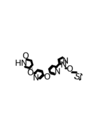 C[Si](C)(C)CCOCn1nccc1-c1ccc(Oc2ccc(O[C@@H]3CCC(=O)NC3)nc2)cn1